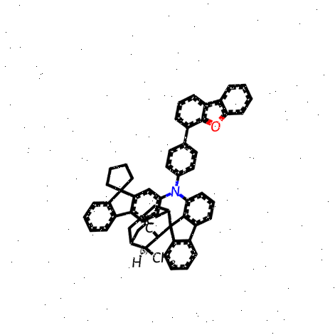 C[C@H]1C2CCC3CC(C2)CC1C31c2ccccc2-c2cccc(N(c3ccc(-c4cccc5c4oc4ccccc45)cc3)c3ccc4c(c3)C3(CCCC3)c3ccccc3-4)c21